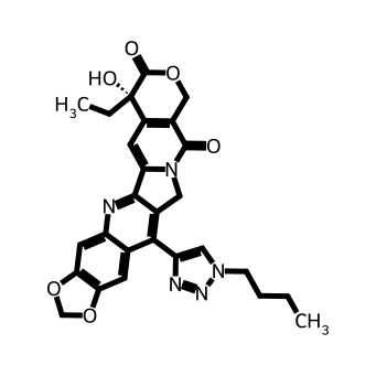 CCCCn1cc(-c2c3c(nc4cc5c(cc24)OCO5)-c2cc4c(c(=O)n2C3)COC(=O)[C@]4(O)CC)nn1